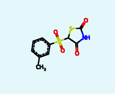 Cc1cccc(S(=O)(=O)C2SC(=O)NC2=O)c1